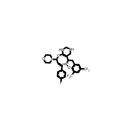 [O-][NH+]1/C(c2ccc(F)cc2)=C\C(N2CCOCC2)OC2=C(CNCN2)C1Cc1cc(C(F)(F)F)cc(C(F)(F)F)c1